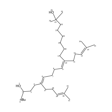 CCCCC(O)CCC(=CCCC=C(CCC=C(C)C)CCCCCCC(C)(C)O)CCC=C(C)C